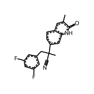 Cc1cc2ccc(C(C)(C#N)Cc3cc(F)cc(F)c3)cc2[nH]c1=O